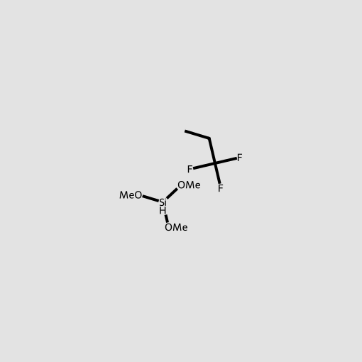 CCC(F)(F)F.CO[SiH](OC)OC